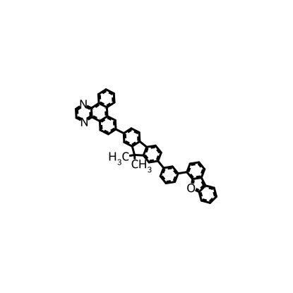 CC1(C)c2cc(-c3cccc(-c4cccc5c4oc4ccccc45)c3)ccc2-c2ccc(-c3ccc4c(c3)c3ccccc3c3nccnc43)cc21